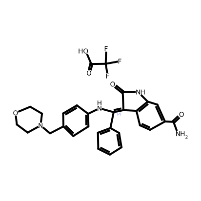 NC(=O)c1ccc2c(c1)NC(=O)/C2=C(\Nc1ccc(CN2CCOCC2)cc1)c1ccccc1.O=C(O)C(F)(F)F